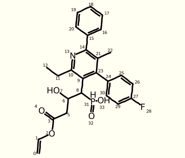 C=COC(=O)CC(O)C(c1c(CC)nc(-c2ccccc2)c(C)c1-c1ccc(F)cc1)[PH](=O)O